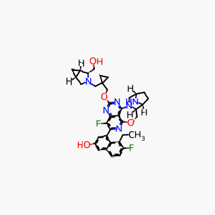 CCc1c(F)ccc2cc(O)cc(-c3nc4c5c(nc(OCC6(CN7C[C@@H]8C[C@@H]8[C@H]7CO)CC6)nc5c3F)N3C[C@@H]5CC[C@@H](N5)[C@@H]3CO4)c12